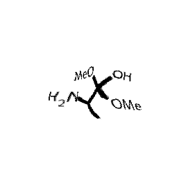 COC(O)(OC)C(C)N